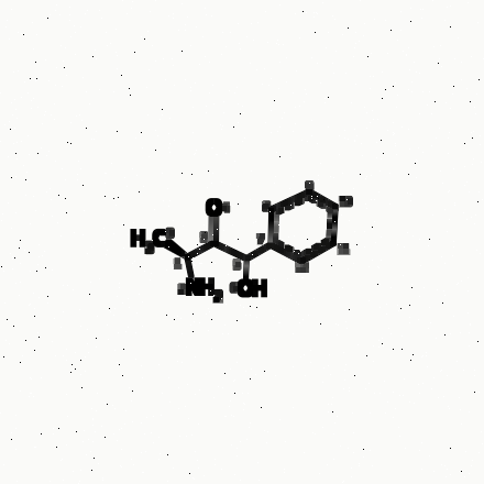 C[C@H](N)C(=O)C(O)c1ccccc1